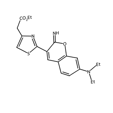 CCOC(=O)Cc1csc(-c2cc3ccc(N(CC)CC)cc3oc2=N)n1